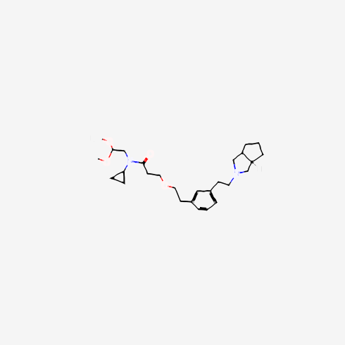 COC(CN(C(=O)CCOCCc1cccc(CCN2CC3CCC[C@@H]3C2)c1)C1CC1)OC